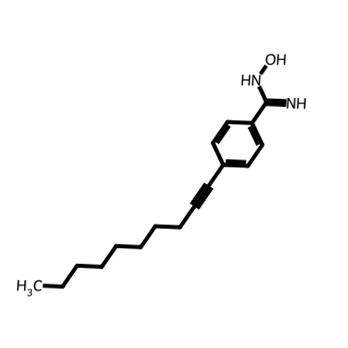 CCCCCCCCC#Cc1ccc(C(=N)NO)cc1